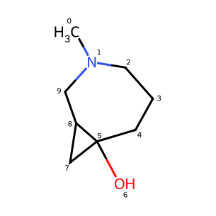 CN1CCCC2(O)CC2C1